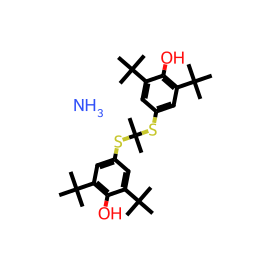 CC(C)(Sc1cc(C(C)(C)C)c(O)c(C(C)(C)C)c1)Sc1cc(C(C)(C)C)c(O)c(C(C)(C)C)c1.N